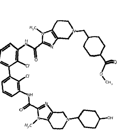 COC(=O)C1CCC(CN2CCc3c(nc(C(=O)Nc4cccc(-c5cccc(NC(=O)c6nc7c(n6C)CCN(C6CCC(O)CC6)C7)c5Cl)c4Cl)n3C)C2)CC1